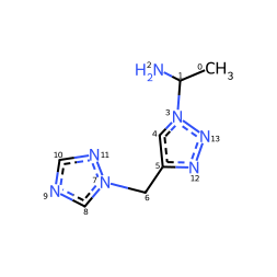 CC(N)n1cc(Cn2cncn2)nn1